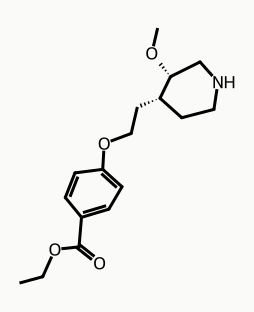 CCOC(=O)c1ccc(OCC[C@H]2CCNC[C@H]2OC)cc1